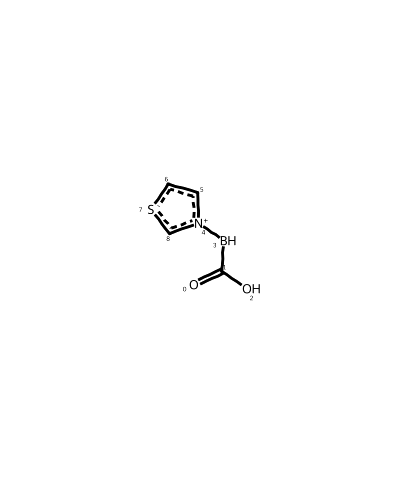 O=C(O)B[n+]1ccsc1